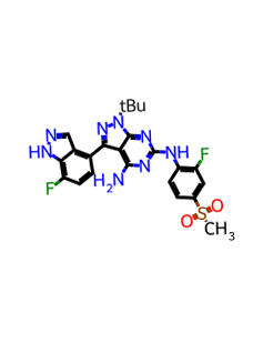 CC(C)(C)n1nc(-c2ccc(F)c3[nH]ncc23)c2c(N)nc(Nc3ccc(S(C)(=O)=O)cc3F)nc21